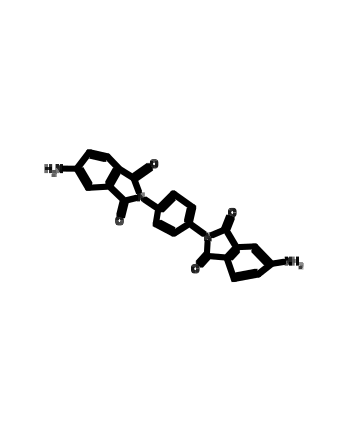 Nc1ccc2c(c1)C(=O)N(c1ccc(N3C(=O)c4ccc(N)cc4C3=O)cc1)C2=O